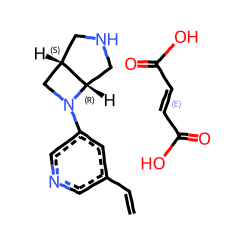 C=Cc1cncc(N2C[C@@H]3CNC[C@@H]32)c1.O=C(O)/C=C/C(=O)O